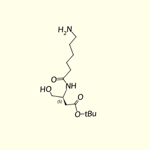 CC(C)(C)OC(=O)C[C@@H](CO)NC(=O)CCCCCN